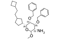 COC1O[C@H](C2CCC(CCC3CCC3)C2)[C@H](OCc2ccccc2)[C@H](OCc2ccccc2)[C@@H]1N